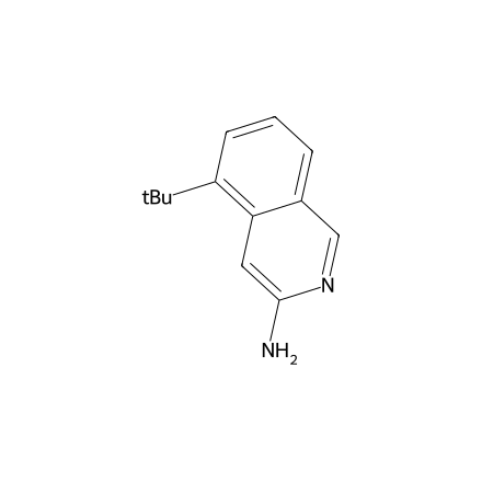 CC(C)(C)c1cccc2cnc(N)cc12